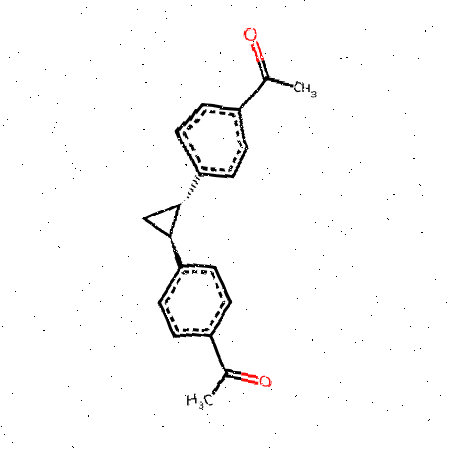 CC(=O)c1ccc([C@H]2C[C@@H]2c2ccc(C(C)=O)cc2)cc1